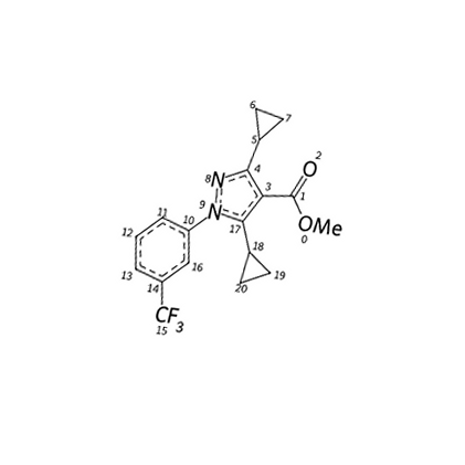 COC(=O)c1c(C2CC2)nn(-c2cccc(C(F)(F)F)c2)c1C1CC1